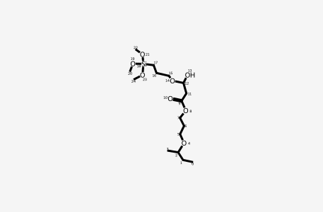 CCC(C)OCCCOC(=O)CC(O)OCCC[Si](OC)(OC)OC